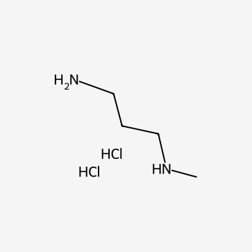 CNCCCN.Cl.Cl